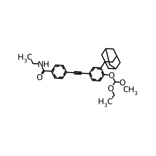 CCNC(=O)c1ccc(C#Cc2ccc(OC(OC)OCC)c(C34CC5CC(CC(C5)C3)C4)c2)cc1